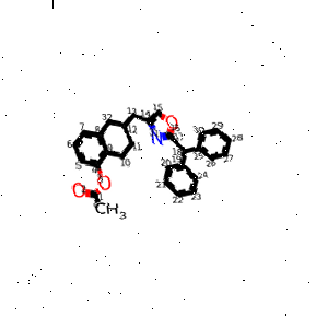 CC(=O)Oc1cccc2c1CCC(Cc1coc(C(c3ccccc3)c3ccccc3)n1)C2